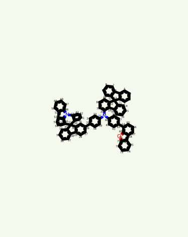 c1ccc2c(c1)-c1ccccc1C21c2ccccc2-c2c(N(c3ccc(-c4ccc5c(c4)C4(c6ccccc6-5)c5ccccc5-n5c6ccccc6c6cccc4c65)cc3)c3ccc(-c4cccc5c4oc4ccccc45)cc3)cccc21